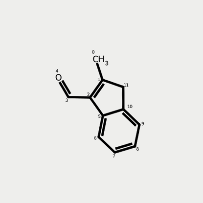 CC1=C(C=O)c2ccccc2C1